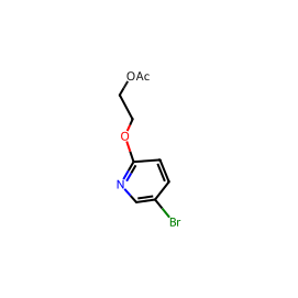 CC(=O)OCCOc1ccc(Br)cn1